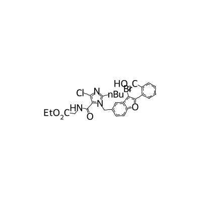 CCCCc1nc(Cl)c(C(=O)NCC(=O)OCC)n1Cc1ccc2oc(-c3ccccc3C(=O)O)c(Br)c2c1